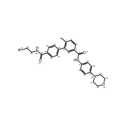 Cc1ccc(C(=O)Nc2ccc(N3CCOCC3)cc2)cc1-c1ccc(C(=O)NCCC(C)C)cc1